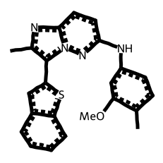 COc1cc(Nc2ccc3nc(C)c(-c4cc5ccccc5s4)n3n2)ccc1C